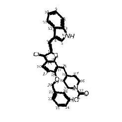 O=C1C(=Cc2c[nH]c3ccccc23)Oc2c1ccc(OCc1ccccc1)c2CC1CCN(C(=O)O)CC1